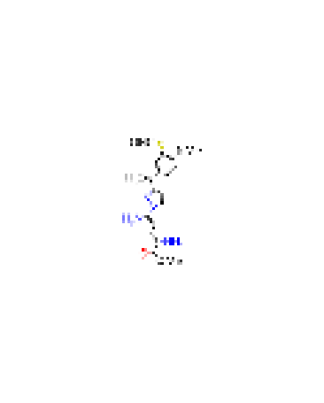 CNc1ccc(C(C)c2ccn(/C(N)=C/C=C(\N)C(=O)OC)n2)cc1SC=O